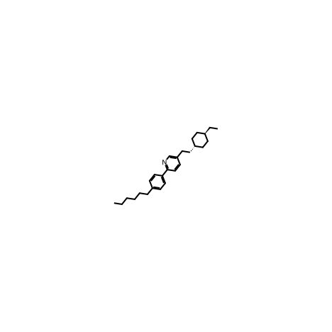 CCCCCCc1ccc(-c2ccc(CC[C@H]3CC[C@H](CC)CC3)cn2)cc1